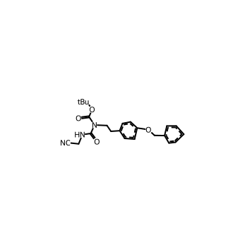 CC(C)(C)OC(=O)N(CCc1ccc(OCc2ccccc2)cc1)C(=O)NCC#N